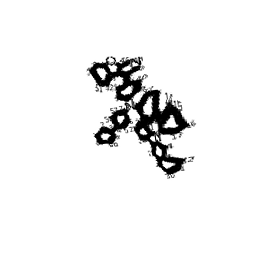 c1ccc(-c2ccc(N(c3ccc(-c4ccccc4-n4c5ccccc5c5cc6ccccc6cc54)cc3)c3ccc(-c4cncc5oc6ccccc6c45)cc3)cc2)cc1